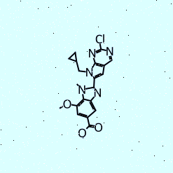 COC(=O)c1cc(OC)c2c(c1)nc(-c1cc3cnc(Cl)nc3n1CC1CC1)n2C